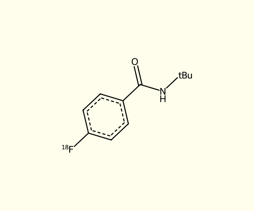 CC(C)(C)NC(=O)c1ccc([18F])cc1